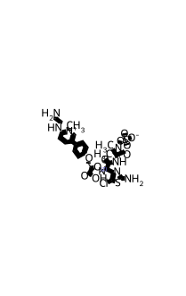 C[n+]1cc(-c2ccc(OC[C@H](O/N=C(\C(=O)N[C@@H]3C(=O)N(OS(=O)(=O)[O-])C3(C)C)c3nc(N)sc3Cl)C(=O)O)cc2)ccc1NCCN